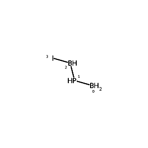 BPBI